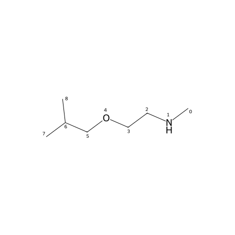 CNCCOCC(C)C